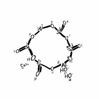 O=[Si]1[O][Al][O][Si](=O)O[Si](=O)[O][Al][O][Si](=O)O1.[Ca+2].[OH-].[OH-]